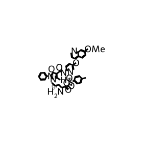 COc1ccc2c(Oc3ccc(NC(=O)c4c(C)n(C[C@@H](C)CC(N)C(=O)OS(=O)(=O)c5ccc(C)cc5)n(-c5ccccc5)c4=O)nc3)ccnc2c1